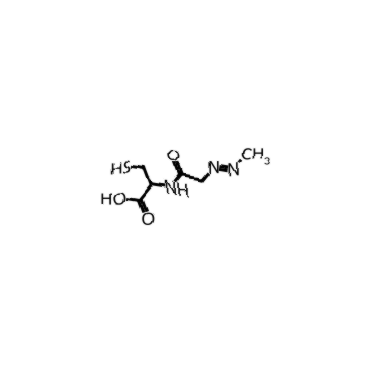 C/N=N/CC(=O)NC(CS)C(=O)O